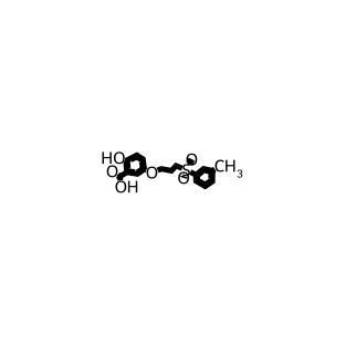 Cc1cccc(S(=O)(=O)CCCOc2ccc(O)c(C(=O)O)c2)c1